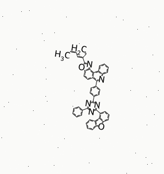 C=C/C(=C\C=C/C)c1nc2c(ccc3c(-c4ccc(-c5nc(-c6ccccc6)nc(-c6cccc7oc8ccccc8c67)n5)cc4)nc4ccccc4c32)o1